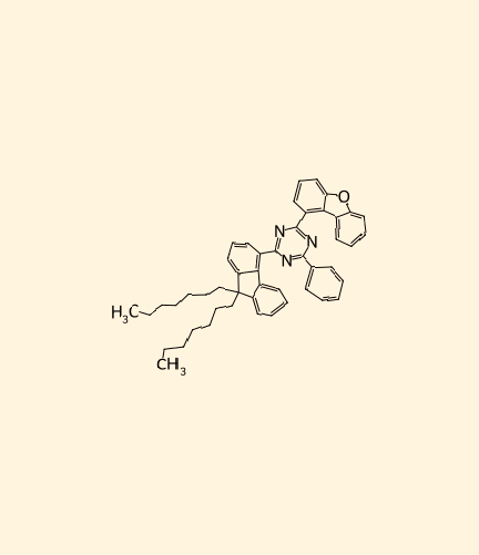 CCCCCCCC1(CCCCCCC)c2ccccc2-c2c(-c3nc(-c4ccccc4)nc(-c4cccc5oc6ccccc6c45)n3)cccc21